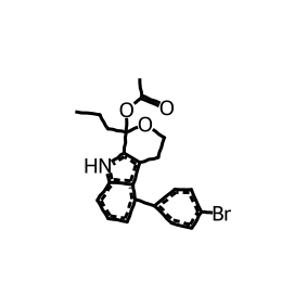 CCCC1(OC(C)=O)OCCc2c1[nH]c1cccc(-c3ccc(Br)cc3)c21